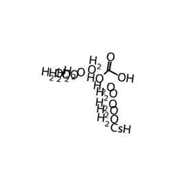 O.O.O.O.O.O.O.O.O.O.O=C(O)O.[CsH]